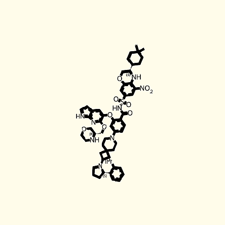 CC(C)c1ccccc1[C@@H]1CCCN1C1CC2(CCN(c3ccc(C(=O)NS(=O)(=O)c4cc5c(c([N+](=O)[O-])c4)N[C@@H](C4CCC(C)(C)CC4)CO5)c(Oc4cc5cc[nH]c5nc4OC[C@H]4COCCN4)c3)CC2)C1